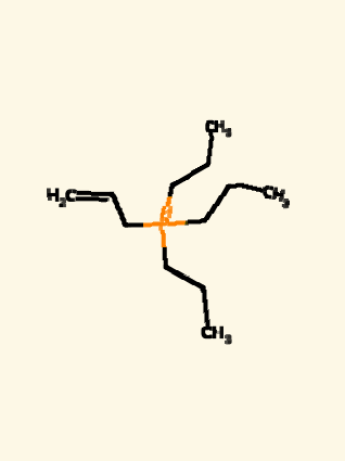 C=CC[PH](CCC)(CCC)CCC